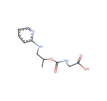 CC(CNc1ccccn1)OC(=O)NCC(=O)O